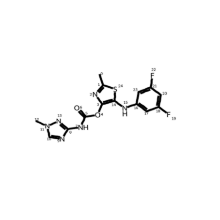 Cc1nc(OC(=O)Nc2ncn(C)n2)c(Nc2cc(F)cc(F)c2)s1